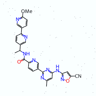 COc1ccc(-c2ccc(C(C)NC(=O)c3ccc(-c4nc(C)cc(Nc5cc(C#N)on5)n4)cn3)cn2)cn1